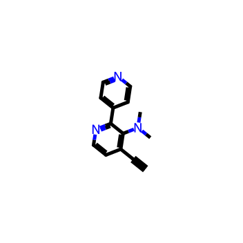 C#Cc1ccnc(-c2ccncc2)c1N(C)C